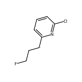 FCC[CH]c1cccc(Cl)n1